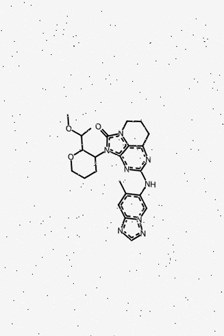 COC(C)C1OCCCC1n1c(=O)n2c3c(nc(Nc4cn5ncnc5cc4C)nc31)CCC2